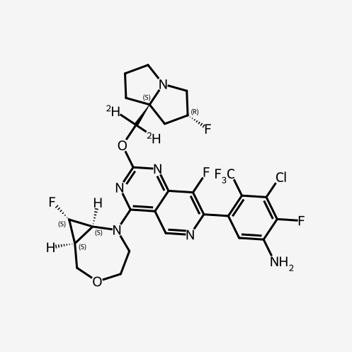 [2H]C([2H])(Oc1nc(N2CCOC[C@H]3[C@H](F)[C@H]32)c2cnc(-c3cc(N)c(F)c(Cl)c3C(F)(F)F)c(F)c2n1)[C@@]12CCCN1C[C@H](F)C2